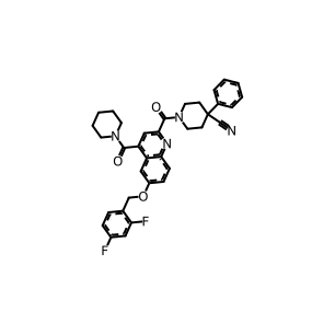 N#CC1(c2ccccc2)CCN(C(=O)c2cc(C(=O)N3CCCCC3)c3cc(OCc4ccc(F)cc4F)ccc3n2)CC1